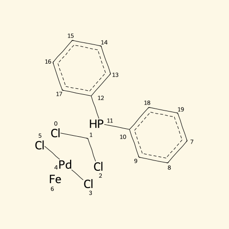 ClCCl.[Cl][Pd][Cl].[Fe].c1ccc(Pc2ccccc2)cc1